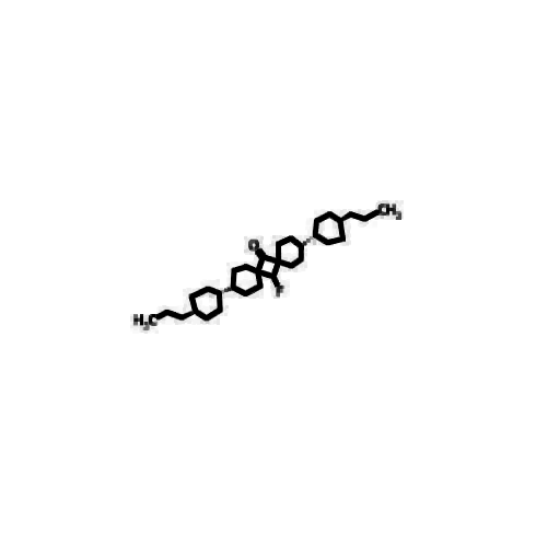 CCC[C@H]1CC[C@H](C2CCC3(CC2)C(=O)C2(CCC([C@H]4CC[C@H](CCC)CC4)CC2)C3F)CC1